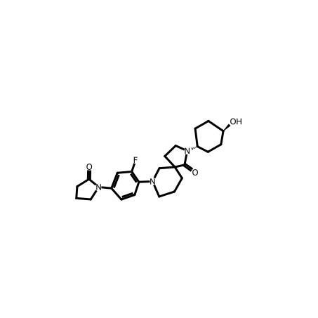 O=C1CCCN1c1ccc(N2CCCC3(CCN([C@H]4CC[C@H](O)CC4)C3=O)C2)c(F)c1